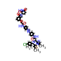 Cc1sc2c(c1C)C(c1ccc(Cl)cc1)=N[C@@H](CC(=O)Nc1ccc(/N=N/c3ccc(NC(=O)COc4cccc5c4CN(C4CCC(=O)NC4=O)C5=O)cc3)cc1)c1ncc(C)n1-2